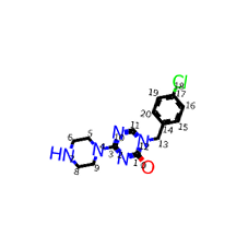 O=c1nc(N2CCNCC2)ncn1Cc1ccc(Cl)cc1